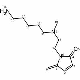 C=C1C=CC(=O)N1CCN(C)CCCCCN